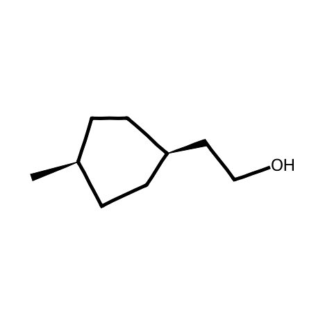 C[C@H]1CC[C@@H](CCO)CC1